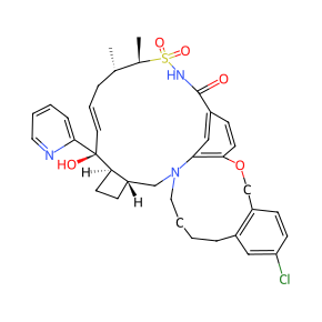 C[C@@H]1[C@@H](C)C/C=C/[C@@](O)(c2ccccn2)[C@@H]2CC[C@H]2CN2CCCCc3cc(Cl)ccc3COc3ccc(cc32)C(=O)NS1(=O)=O